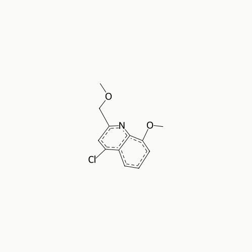 COCc1cc(Cl)c2cccc(OC)c2n1